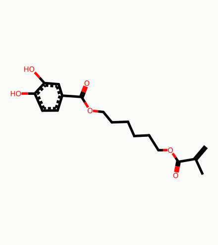 C=C(C)C(=O)OCCCCCCOC(=O)c1ccc(O)c(O)c1